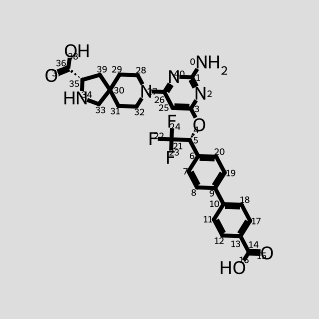 Nc1nc(O[C@H](c2ccc(-c3ccc(C(=O)O)cc3)cc2)C(F)(F)F)cc(N2CCC3(CC2)CN[C@H](C(=O)O)C3)n1